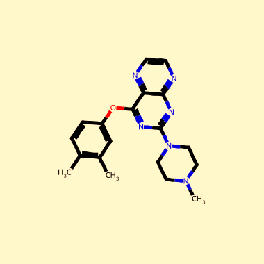 Cc1ccc(Oc2nc(N3CCN(C)CC3)nc3nccnc23)cc1C